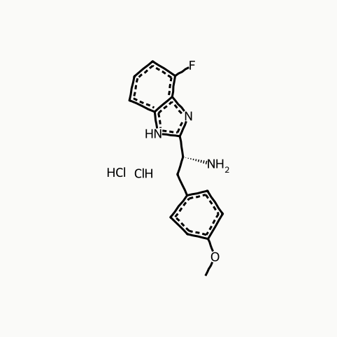 COc1ccc(C[C@@H](N)c2nc3c(F)cccc3[nH]2)cc1.Cl.Cl